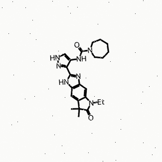 CCN1C(=O)C(C)(C)c2cc3[nH]c(-c4n[nH]cc4NC(=O)N4CCCCCC4)nc3cc21